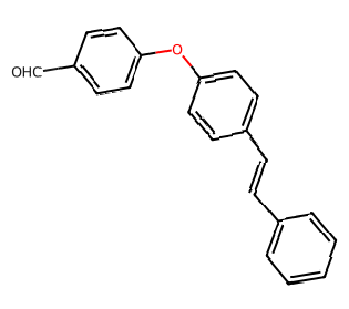 O=Cc1ccc(Oc2ccc(C=Cc3ccccc3)cc2)cc1